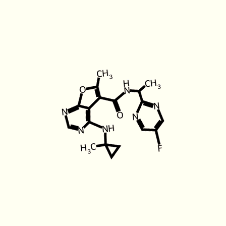 Cc1oc2ncnc(NC3(C)CC3)c2c1C(=O)NC(C)c1ncc(F)cn1